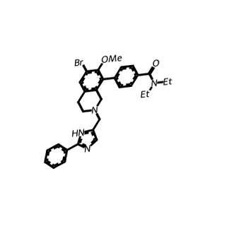 CCN(CC)C(=O)c1ccc(-c2c3c(cc(Br)c2OC)CCN(Cc2cnc(-c4ccccc4)[nH]2)C3)cc1